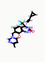 Cc1cc(=O)n(Cc2cc3c(cc2F)[C@@](C#CC2CC2)(C(F)(F)F)NC(=O)N3)cn1